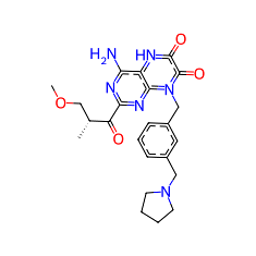 COC[C@@H](C)C(=O)c1nc(N)c2[nH]c(=O)c(=O)n(Cc3cccc(CN4CCCC4)c3)c2n1